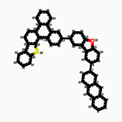 c1ccc2cc3cc(-c4ccc5oc6ccc(-c7ccc8c(c7)c7ccccc7c7ccc9c%10ccccc%10sc9c78)cc6c5c4)ccc3cc2c1